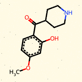 COc1ccc(C(=O)C2CCNCC2)c(O)c1